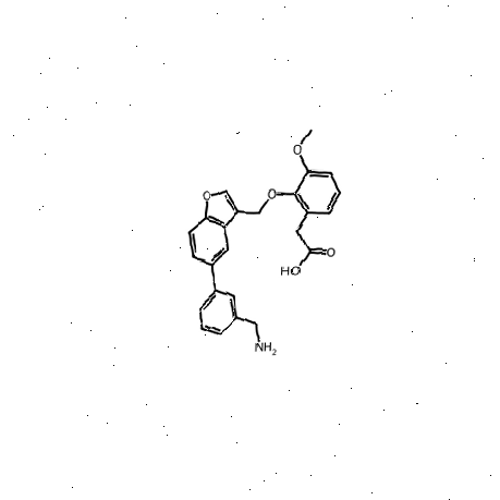 COc1cccc(CC(=O)O)c1OCc1coc2ccc(-c3cccc(CN)c3)cc12